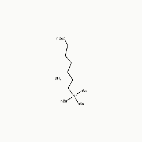 CCCCCCCCCCCCCCCC[N+](CCCC)(CCCC)CCCC.[BH4-]